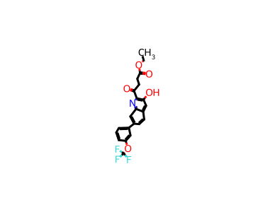 CCOC(=O)CCC(=O)c1nc2cc(-c3cccc(OC(F)(F)F)c3)ccc2cc1O